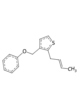 CC=CCc1sccc1COc1ccccc1